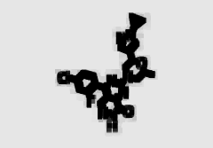 CC1CN(c2nc(-c3ccc(Cl)cc3F)c3cn[nH]c(=O)c3n2)CC(c2cnn(C3CC3)c2)O1